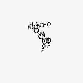 CN(C=O)c1cc(-c2ccc(NCC3(c4ncccc4F)CC(F)C3)nn2)ccc1O